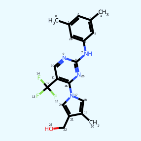 Cc1cc(C)cc(Nc2ncc(C(F)(F)F)c(-n3cc(C)c(CO)c3)n2)c1